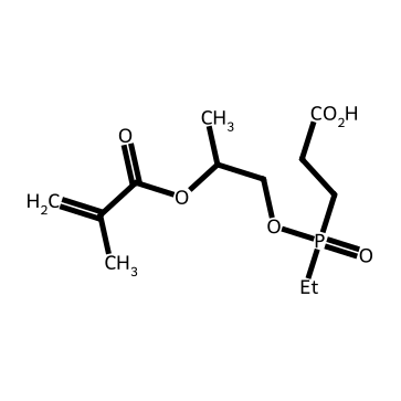 C=C(C)C(=O)OC(C)COP(=O)(CC)CCC(=O)O